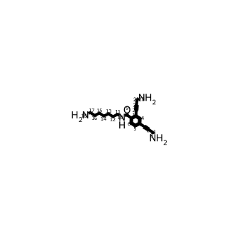 NCC#Cc1ccc(C(=O)NCCCCCCCN)c(C#CCN)c1